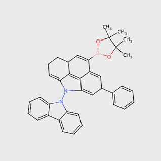 CC1(C)OB(C2=CC3CCC=c4c3c3c(n4-n4c5ccccc5c5ccccc54)=CC(c4ccccc4)C=C23)OC1(C)C